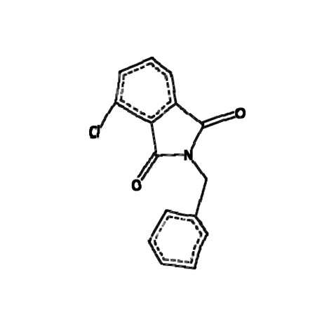 O=C1c2cccc(Cl)c2C(=O)N1Cc1ccccc1